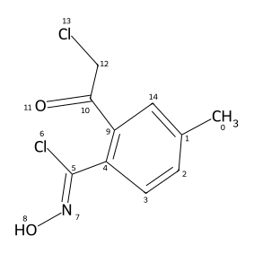 Cc1ccc(C(Cl)=NO)c(C(=O)CCl)c1